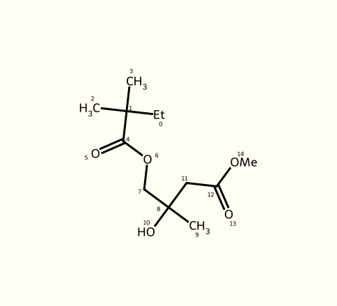 CCC(C)(C)C(=O)OCC(C)(O)CC(=O)OC